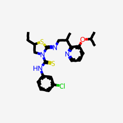 CCC1CN(C(=S)Nc2cccc(Cl)c2)/C(=N/CC(C)c2ncccc2OC(C)C)S1